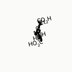 CCN(CCCOc1ccc2c(Nc3cc(CC(=O)O)n[nH]3)ncnc2c1)CC(=O)O